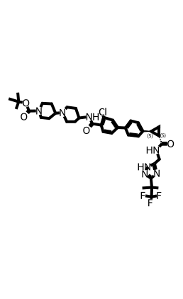 CC(C)(C)OC(=O)N1CCC(N2CCC(NC(=O)c3ccc(-c4ccc([C@H]5C[C@@H]5C(=O)NCc5nc(C(C)(C)C(F)(F)F)n[nH]5)cc4)cc3Cl)CC2)CC1